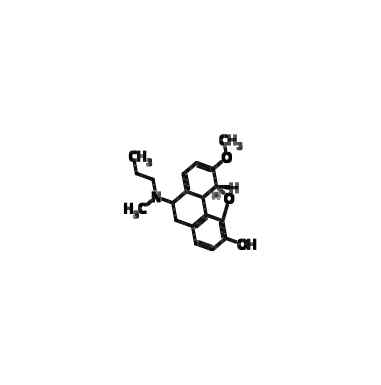 CCCN(C)C1Cc2ccc(O)c3c2C2C1=CC=C(OC)[C@@H]2O3